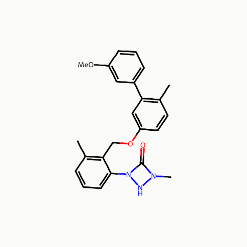 COc1cccc(-c2cc(OCc3c(C)cccc3-n3[nH]n(C)c3=O)ccc2C)c1